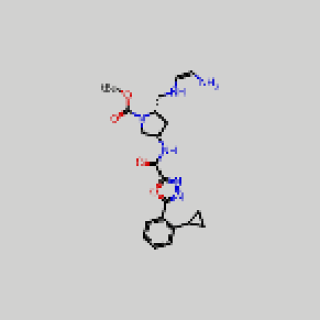 CC(C)(C)OC(=O)N1C[C@H](NC(=O)c2nnc(-c3ccccc3C3CC3)o2)C[C@H]1CN/C=C\N